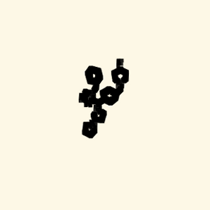 FC1CCN(Cc2ccc(C(c3nncn3Cc3ccccc3)N3CC[C@H](N4CCCC4)C3)cc2)CC1